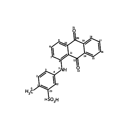 Cc1ccc(Nc2cccc3c2C(=O)c2ccccc2C3=O)cc1S(=O)(=O)O